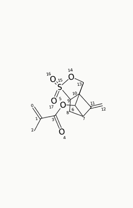 C=C(C)C(=O)OC1C2CC3C(C2=C)C1OS3(=O)=O